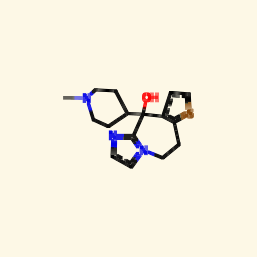 CN1CCC(C2(O)c3ccsc3CCn3ccnc32)CC1